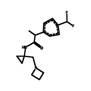 CC(C(=O)NC1(CN2CCC2)CC1)c1ccc(C(F)F)cc1